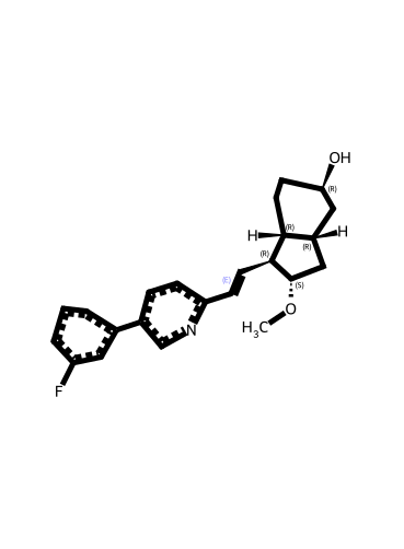 CO[C@H]1C[C@H]2C[C@H](O)CC[C@H]2[C@@H]1/C=C/c1ccc(-c2cccc(F)c2)cn1